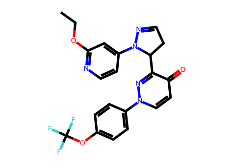 CCOc1cc(N2N=CCC2c2nn(-c3ccc(OC(F)(F)F)cc3)ccc2=O)ccn1